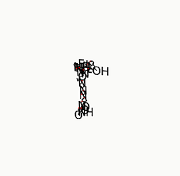 CCc1cccc2cc(O)cc(-c3ncc4c(N5CC6CCC(C5)N6)nc(OCC5(CN6CCC(N7CCN(c8ccc9c(c8)CN(C8CCC(=O)NC8=O)C9=O)CC7)CC6)CC5)nc4c3F)c12